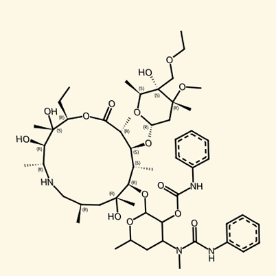 CCOC[C@]1(O)[C@H](C)O[C@@H](O[C@H]2[C@H](C)[C@@H](OC3OC(C)CC(N(C)C(=O)Nc4ccccc4)C3OC(=O)Nc3ccccc3)[C@](C)(O)C[C@@H](C)CN[C@H](C)[C@@H](O)[C@](C)(O)[C@@H](CC)OC(=O)[C@@H]2C)C[C@@]1(C)OC